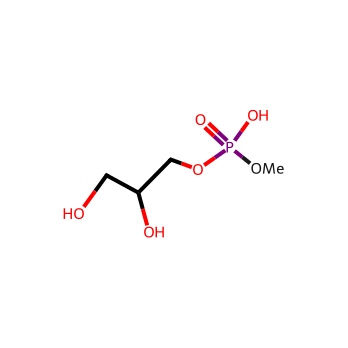 COP(=O)(O)OCC(O)CO